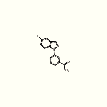 NC(=O)c1cccc(-n2ncc3cc(F)ccc32)c1